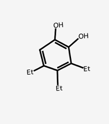 CCc1cc(O)c(O)c(CC)c1CC